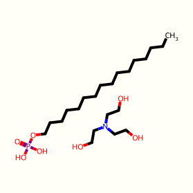 CCCCCCCCCCCCCCCCOP(=O)(O)O.OCCN(CCO)CCO